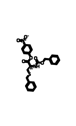 O=C(N[C@@H](CSCc1ccccc1)C(=O)Oc1ccc([N+](=O)[O-])cc1)OCc1ccccc1